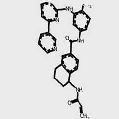 C=CC(=O)NC1CCCc2cc(C(=O)Nc3ccc(C)c(Nc4nccc(-c5cccnc5)n4)c3)ccc21